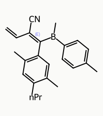 C=C/C(C#N)=C(/B(C)c1ccc(C)cc1)c1cc(C)c(CCC)cc1C